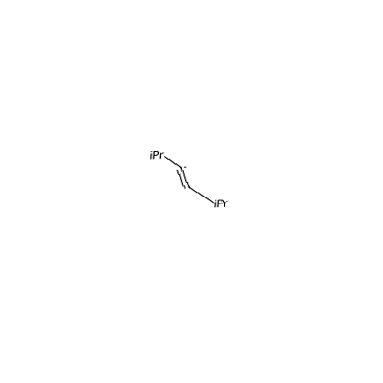 CC(C)/[C]=C/C(C)C